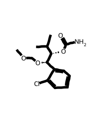 COCO[C@@H](c1ccccc1Cl)[C@@H](OC(N)=O)C(C)C